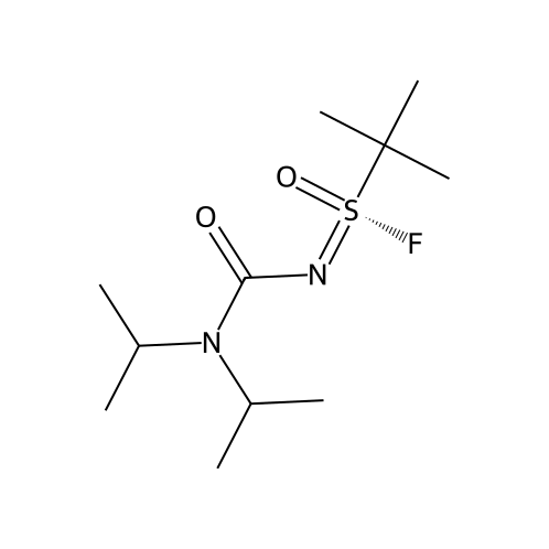 CC(C)N(C(=O)N=[S@](=O)(F)C(C)(C)C)C(C)C